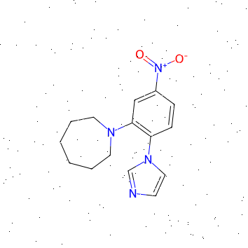 O=[N+]([O-])c1ccc(-n2ccnc2)c(N2CCCCCC2)c1